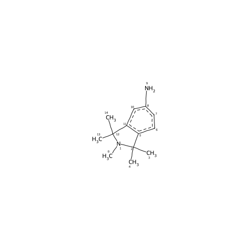 CN1C(C)(C)c2ccc(N)cc2C1(C)C